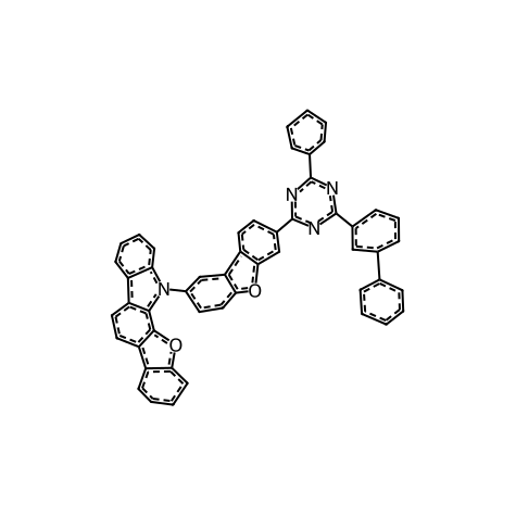 c1ccc(-c2cccc(-c3nc(-c4ccccc4)nc(-c4ccc5c(c4)oc4ccc(-n6c7ccccc7c7ccc8c9ccccc9oc8c76)cc45)n3)c2)cc1